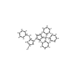 Ic1cc(-c2nnn(C(c3ccccc3)(c3ccccc3)c3ccccc3)n2)c(Cc2ccccc2)s1